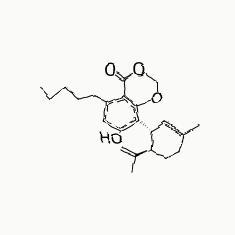 C=C(C)[C@@H]1CCC(C)=C[C@H]1c1c(O)cc(CCCCC)c2c1OCOC2=O